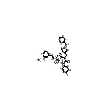 CCN(C(=O)C(Cc1cnn(Cc2cccnc2)c1)C(=O)NS(=O)(=O)C=Cc1ccccc1)c1ccc(F)cc1.Cl